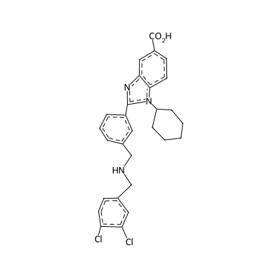 O=C(O)c1ccc2c(c1)nc(-c1cccc(CNCc3ccc(Cl)c(Cl)c3)c1)n2C1CCCCC1